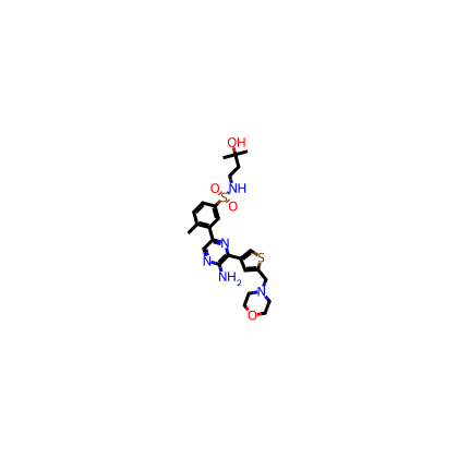 Cc1ccc(S(=O)(=O)NCCC(C)(C)O)cc1-c1cnc(N)c(-c2csc(CN3CCOCC3)c2)n1